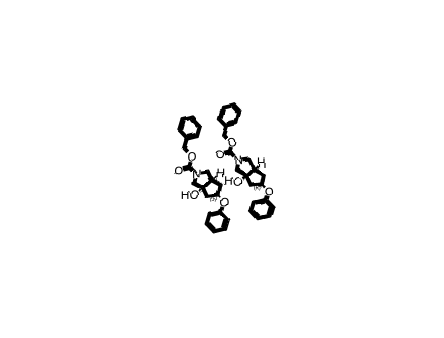 O=C(OCc1ccccc1)N1C[C@@H]2C[C@@H](Oc3ccccc3)C[C@]2(O)C1.O=C(OCc1ccccc1)N1C[C@H]2C[C@H](Oc3ccccc3)C[C@@]2(O)C1